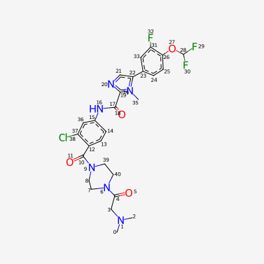 CN(C)CC(=O)N1CCN(C(=O)c2ccc(NC(=O)c3ncc(-c4ccc(OC(F)F)c(F)c4)n3C)cc2Cl)CC1